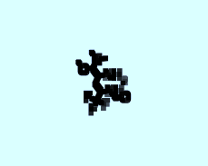 CO/C(=C(N)\C=C(/NC=O)C(F)(F)F)N(C)C